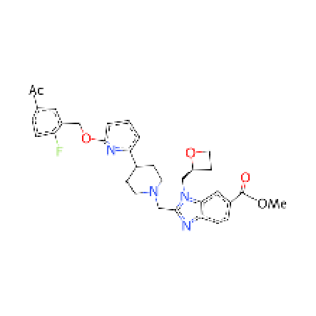 COC(=O)c1ccc2nc(CN3CCC(c4cccc(OCc5cc(C(C)=O)ccc5F)n4)CC3)n(C[C@@H]3CCO3)c2c1